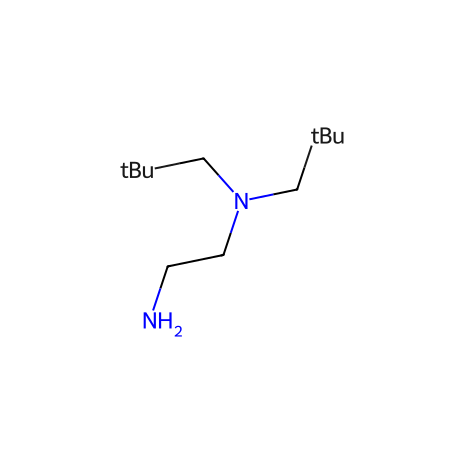 CC(C)(C)CN(CCN)CC(C)(C)C